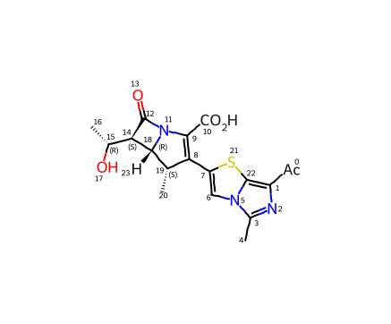 CC(=O)c1nc(C)n2cc(C3=C(C(=O)O)N4C(=O)[C@H]([C@@H](C)O)[C@H]4[C@H]3C)sc12